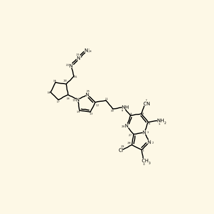 Cc1nn2c(N)c(C#N)c(NCCc3ccn(C4CCCC4CN=[N+]=[N-])n3)nc2c1Cl